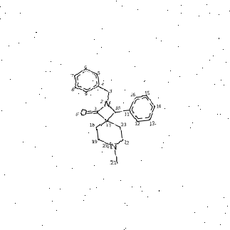 O=C1N(Cc2ccccc2)C(c2ccccc2)C12CCN(I)CC2